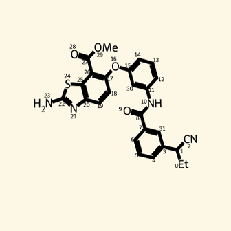 CCC(C#N)c1cccc(C(=O)Nc2cccc(Oc3ccc4nc(N)sc4c3C(=O)OC)c2)c1